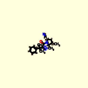 C[C@H]1C[C@@H](C#N)N(C(=O)C(N)C(C)(C)c2ccccc2)[C@H]1C